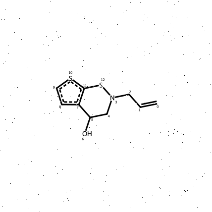 C=CCN1CC(O)c2ccsc2S1